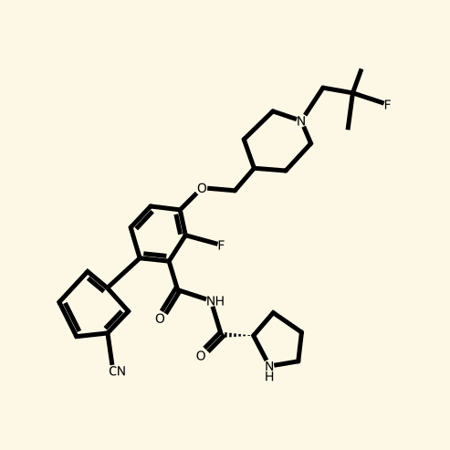 CC(C)(F)CN1CCC(COc2ccc(-c3cccc(C#N)c3)c(C(=O)NC(=O)[C@@H]3CCCN3)c2F)CC1